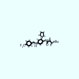 CCCC[C@@H](F)[C@H](F)C(=O)Nc1ccc(NCc2ccc(C(F)(F)F)cc2)cc1N1CCCC1